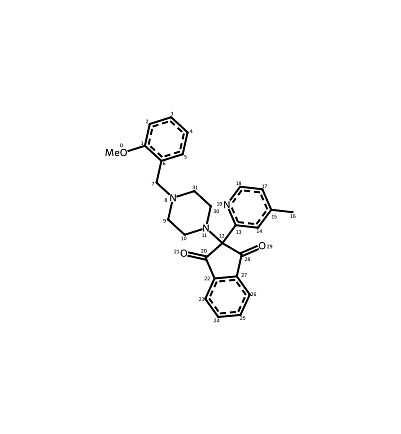 COc1ccccc1CN1CCN(C2(c3cc(C)ccn3)C(=O)c3ccccc3C2=O)CC1